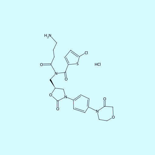 Cl.NCCCC(=O)N(C[C@H]1CN(c2ccc(N3CCOCC3=O)cc2)C(=O)O1)C(=O)c1ccc(Cl)s1